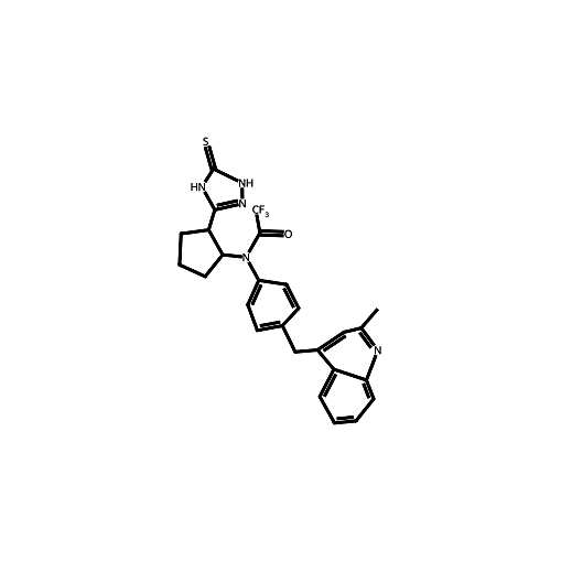 Cc1cc(Cc2ccc(N(C(=O)C(F)(F)F)C3CCCC3c3n[nH]c(=S)[nH]3)cc2)c2ccccc2n1